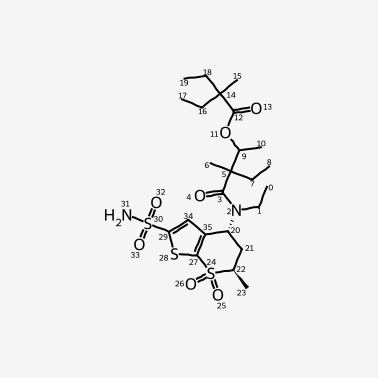 CCN(C(=O)C(C)(CC)C(C)OC(=O)C(C)(CC)CC)[C@@H]1C[C@@H](C)S(=O)(=O)c2sc(S(N)(=O)=O)cc21